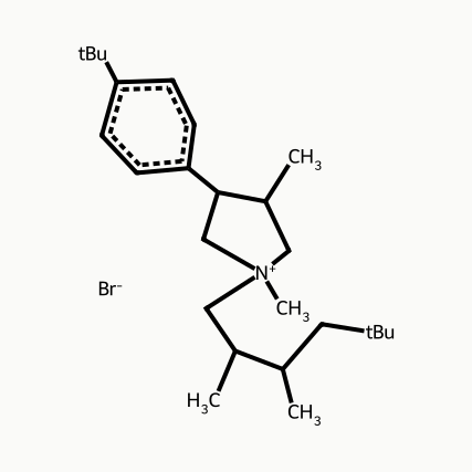 CC(CC(C)(C)C)C(C)C[N+]1(C)CC(C)C(c2ccc(C(C)(C)C)cc2)C1.[Br-]